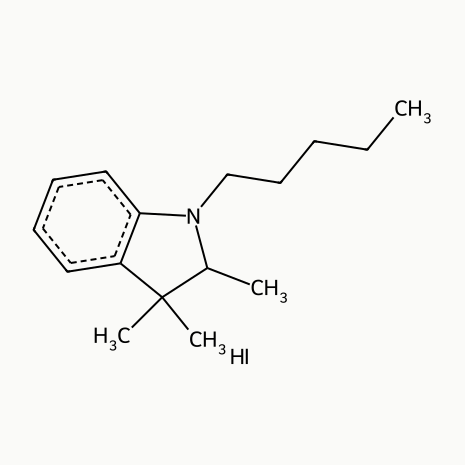 CCCCCN1c2ccccc2C(C)(C)C1C.I